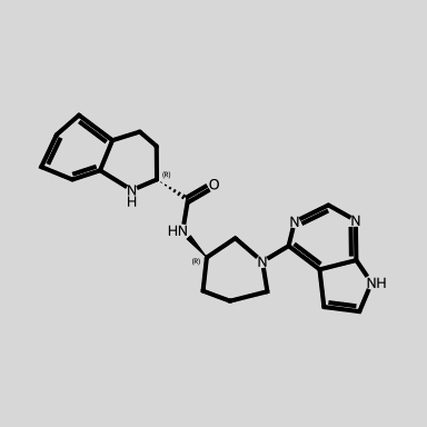 O=C(N[C@@H]1CCCN(c2ncnc3[nH]ccc23)C1)[C@H]1CCc2ccccc2N1